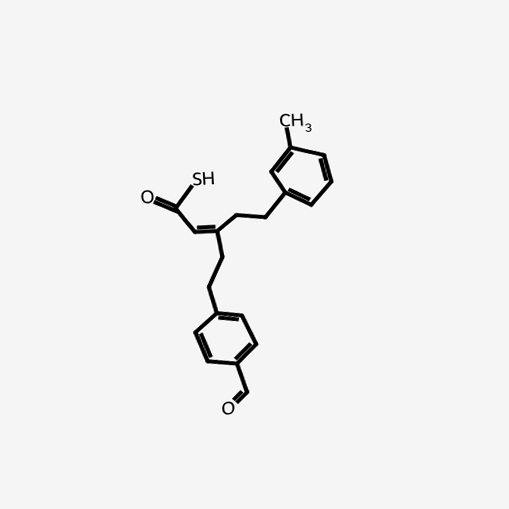 Cc1cccc(CC/C(=C\C(=O)S)CCc2ccc(C=O)cc2)c1